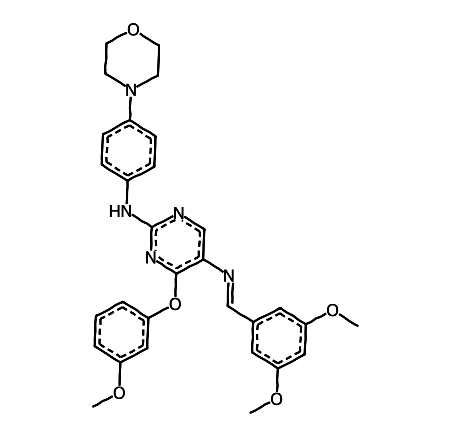 COc1cc(C=Nc2cnc(Nc3ccc(N4CCOCC4)cc3)nc2Oc2cccc(OC)c2)cc(OC)c1